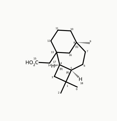 CC1(C)C[C@@H]2[C@H]1CC[C@]1(C)CCCC2(CC(=O)O)C1